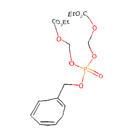 CCOC(=O)OCOP(=O)(OCOC(=O)OCC)OCc1ccccc1